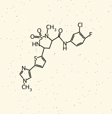 CN1C(C(=O)Nc2ccc(F)c(Cl)c2)CC(c2ccc(-c3cn(C)cn3)s2)NS1(=O)=O